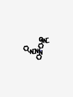 CCN(CC)C(=O)c1ccc(/C(=N/c2ccccc2)N2CCN(Cc3ccccc3)CC2)cc1